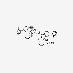 Cc1noc(C)c1-c1ccc2c(c1)C(NCCC(C)N1C(=O)C(NC[C@@H](C)O)(C3CCCCC3)c3cc(-c4c(C)noc4C)ccc31)(C1CCCCC1)C(=O)N2